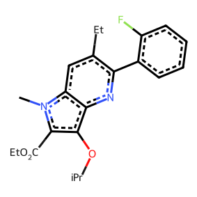 CCOC(=O)c1c(OC(C)C)c2nc(-c3ccccc3F)c(CC)cc2n1C